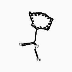 O=C([O][Fe])c1ccccc1